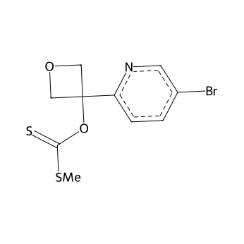 CSC(=S)OC1(c2ccc(Br)cn2)COC1